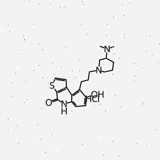 CN(C)C1CCCN(CCCc2c(O)ccc3[nH]c(=O)c4sccc4c23)C1.Cl